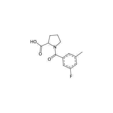 Cc1cc(F)cc(C(=O)N2CCCC2C(=O)O)c1